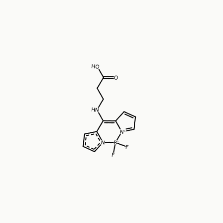 O=C(O)CCNC1=C2C=CC=[N+]2[B-](F)(F)n2cccc21